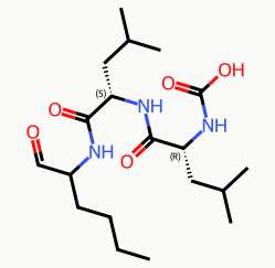 CCCCC(C=O)NC(=O)[C@H](CC(C)C)NC(=O)[C@@H](CC(C)C)NC(=O)O